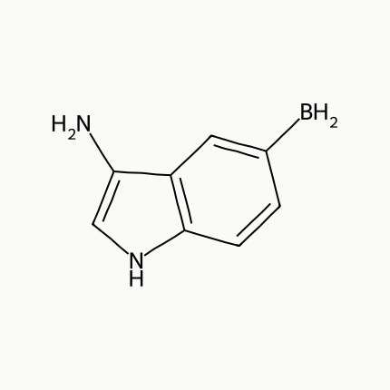 Bc1ccc2[nH]cc(N)c2c1